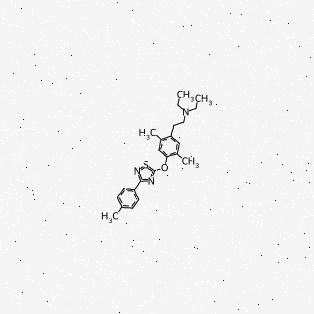 CCN(CC)CCc1cc(C)c(Oc2nc(-c3ccc(C)cc3)ns2)cc1C